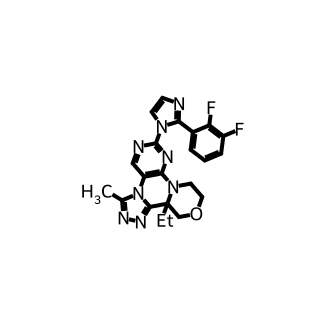 CCC12COCCN1c1nc(-n3ccnc3-c3cccc(F)c3F)ncc1-n1c(C)nnc12